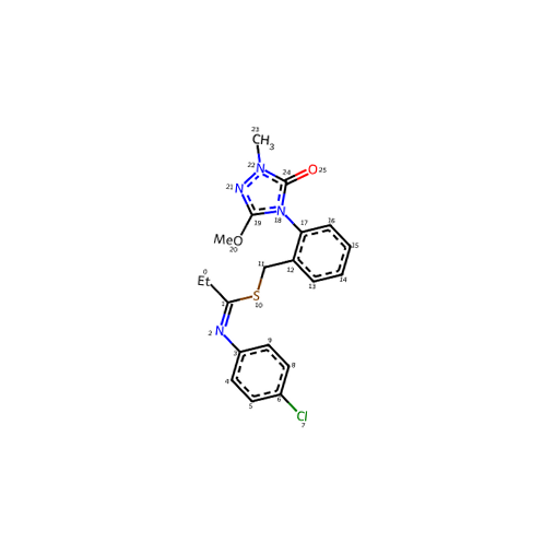 CCC(=Nc1ccc(Cl)cc1)SCc1ccccc1-n1c(OC)nn(C)c1=O